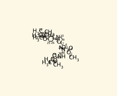 CCOC(=O)c1cc(-c2ccnc(-c3ccc(O[Si](C)(C)C(C)(C)C)cc3)c2)nn1CCNC(=O)OC(C)(C)C